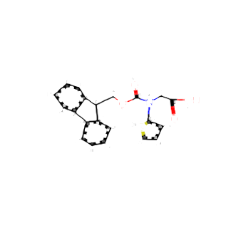 O=C(O)CN(C(=O)OCC1c2ccccc2-c2ccccc21)c1cccs1